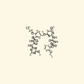 CCOc1ccccc1OS(=O)(=O)NC(=O)Nc1nc(OC)cc(OC)n1.COc1nc(C)nc(NC(=O)NS(=O)(=O)c2ccccc2OCCCl)n1